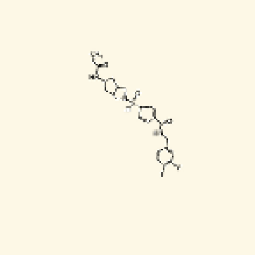 C=CC(=O)NC1CC2CN(S(=O)(=O)c3ccc(C(=O)NCc4ccc(F)c(F)c4)cc3)CC2C1